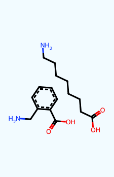 NCCCCCCCC(=O)O.NCc1ccccc1C(=O)O